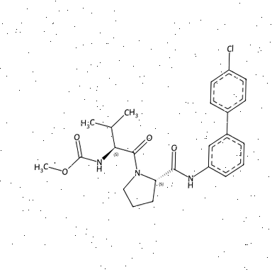 COC(=O)N[C@H](C(=O)N1CCC[C@H]1C(=O)Nc1cccc(-c2ccc(Cl)cc2)c1)C(C)C